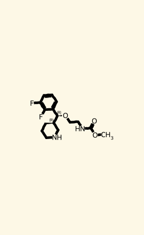 COC(=O)NCCO[C@@H](c1cccc(F)c1F)[C@@H]1CCCNC1